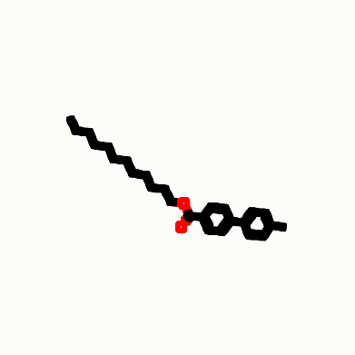 CCCCCCCCCCCCOC(=O)c1ccc(-c2ccc(C)cc2)cc1